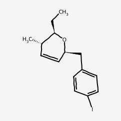 CC[C@H]1O[C@@H](Cc2ccc(I)cc2)C=C[C@@H]1C